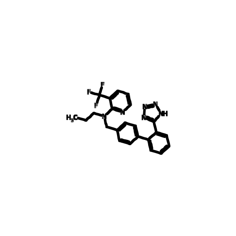 CCCN(Cc1ccc(-c2ccccc2-c2nnn[nH]2)cc1)c1ncccc1C(F)(F)F